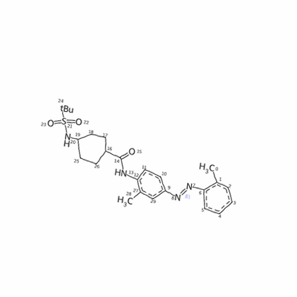 Cc1ccccc1/N=N/c1ccc(NC(=O)C2CCC(NS(=O)(=O)C(C)(C)C)CC2)c(C)c1